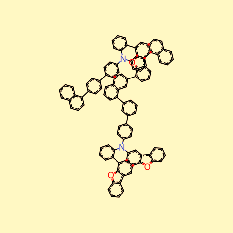 c1cc(-c2ccc(N(c3ccc4oc5ccccc5c4c3)c3ccccc3-c3cccc4c3oc3ccccc34)cc2)cc(-c2cccc3ccc(-c4cccc5c4oc4c(-c6ccccc6N(c6ccc(-c7ccc(-c8cccc9ccccc89)cc7)cc6)c6cccc(-c7cccc8ccccc78)c6)cccc45)cc23)c1